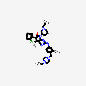 CCCN1CCC[C@H](n2c(=O)c(-c3ccccc3Cl)c(C)c3cnc(Nc4ccc(CN5CCN(CC)CC5)c(C)c4)nc32)C1